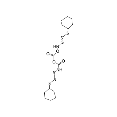 O=C(NSSSC1CCCCC1)OC(=O)ONSSSC1CCCCC1